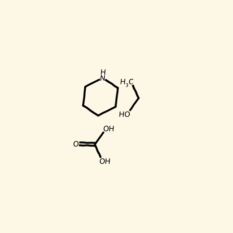 C1CCNCC1.CCO.O=C(O)O